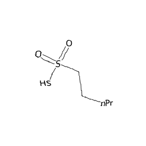 CCCCCS(=O)(=O)S